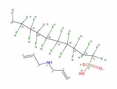 C=CCNCC=C.O=S(=O)(O)C(F)(F)C(F)(F)C(F)(F)C(F)(F)C(F)(F)C(F)(F)C(F)(F)C(F)(F)C(F)(F)CF